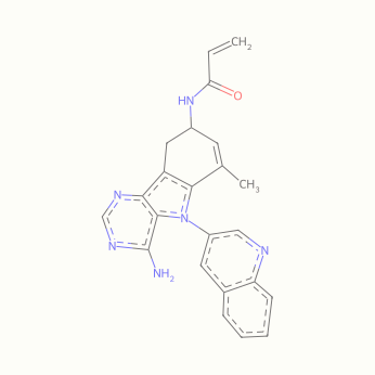 C=CC(=O)NC1C=C(C)c2c(c3ncnc(N)c3n2-c2cnc3ccccc3c2)C1